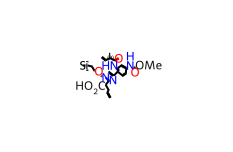 C=CCC(C(=O)O)c1nc(-c2ccc(NC(=O)OC)cc2NC(=O)[C@H](C)C=C)cn1COCC[Si](C)(C)C